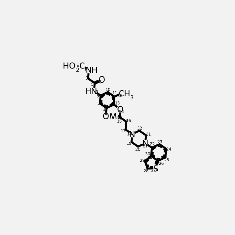 COc1cc(NC(=O)CNC(=O)O)cc(C)c1OCCCN1CCN(c2cccc3sccc23)CC1